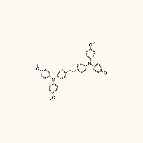 COc1ccc(N(c2ccc(CCc3ccc(N(c4ccc(OC)cc4)c4ccc(OC)cc4)cc3)cc2)c2ccc(OC)cc2)cc1